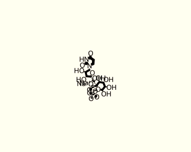 O=c1ccn([C@@H]2O[C@H](COP(=O)(OP(=O)([O-])[O-])[C@]3(CO)O[C@H](O)[C@H](O)[C@@H](O)[C@H]3O)[C@@H](O)[C@H]2O)c(=O)[nH]1.[Na+].[Na+]